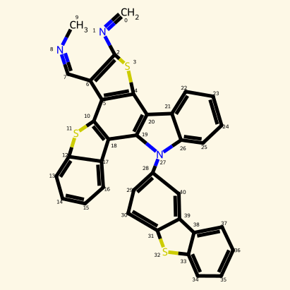 C=Nc1sc2c(c1/C=N\C)c1sc3ccccc3c1c1c2c2ccccc2n1-c1ccc2sc3ccccc3c2c1